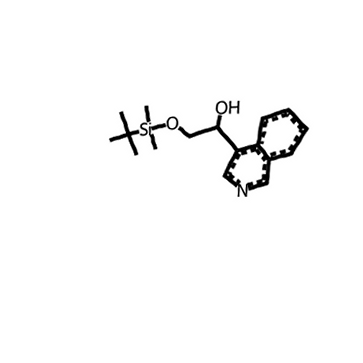 CC(C)(C)[Si](C)(C)OCC(O)c1cncc2ccccc12